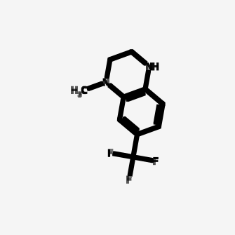 CN1CCNc2ccc(C(F)(F)F)cc21